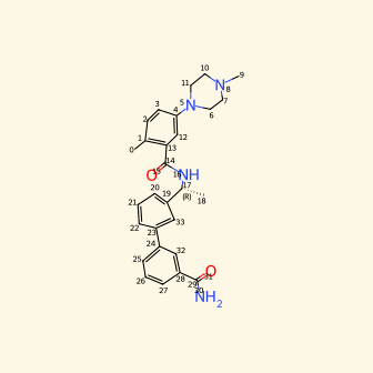 Cc1ccc(N2CCN(C)CC2)cc1C(=O)N[C@H](C)c1cccc(-c2cccc(C(N)=O)c2)c1